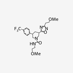 COCCNC(=O)N1CC(c2ccc(C(F)(F)F)cc2)CC(c2nc(CCOC)no2)C1